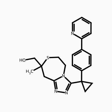 CC1(CO)Cc2nnc(C3(c4ccc(-c5ccccn5)cc4)CC3)n2CCS1